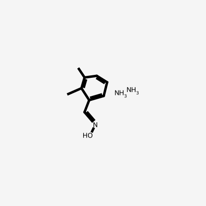 Cc1cccc(C=NO)c1C.N.N